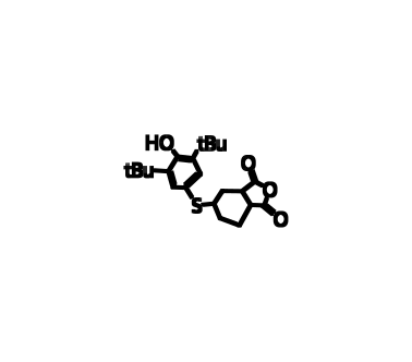 CC(C)(C)c1cc(SC2CCC3C(=O)OC(=O)C3C2)cc(C(C)(C)C)c1O